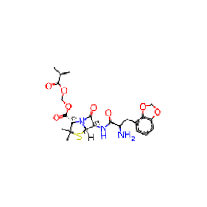 CC(C)C(=O)OCOC(=O)[C@@H]1N2C(=O)[C@@H](NC(=O)C(N)Cc3cccc4c3OCO4)[C@H]2SC1(C)C